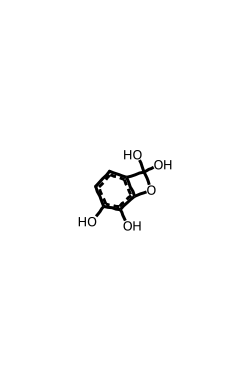 Oc1ccc2c(c1O)OC2(O)O